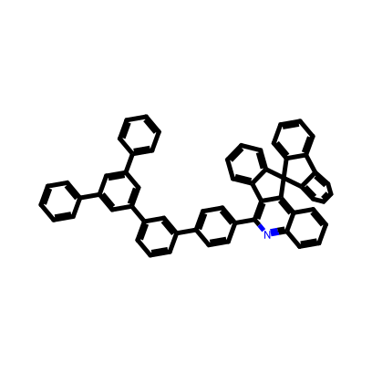 c1ccc(-c2cc(-c3ccccc3)cc(-c3cccc(-c4ccc(-c5nc6ccccc6c6c5-c5ccccc5C65c6ccccc6-c6ccccc65)cc4)c3)c2)cc1